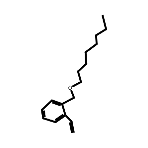 C=Cc1ccccc1COCCCCCCCC